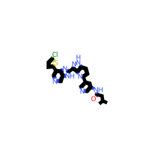 CC(C)CC(=O)Nc1cncc(-c2ccc3[nH]nc(-c4nc5c(-c6ccc(Cl)s6)cncc5[nH]4)c3n2)c1